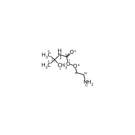 CC(C)(C)NC(=O)OOCCN